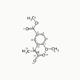 COC(=O)c1ccc(OC)c(N(C)[SH](=O)=O)c1